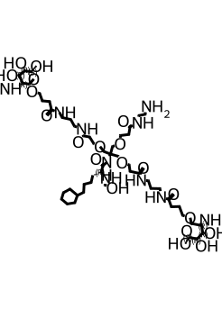 CC(=O)N[C@H]1C(OCCCC(=O)NCCCNC(=O)CCOCC(COCCC(=O)NCCN)(COCCC(=O)NCCCNC(=O)CCCOC2O[C@H](O)[C@H](O)[C@H](O)[C@H]2NC(C)=O)NC(=O)[C@@H](CCCCC2CCCCC2)NCO)O[C@H](O)[C@H](O)[C@@H]1O